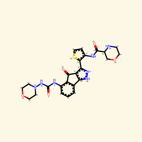 O=C(Nc1cccc2c1C(=O)c1c(-c3sccc3NC(=O)C3COCCN3)n[nH]c1-2)NN1CCOCC1